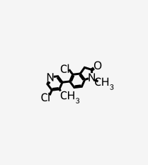 Cc1c(Cl)cncc1-c1ccc2c(c1Cl)CC(=O)N2C